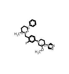 CO[C@H]1CN(c2ccc(CN3S[C@@H](c4ccccc4)CC[C@@H]3C)c(F)c2)CC[C@H]1n1cnnc1